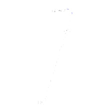 CCCCC/C=C\C/C=C\CCCCCCCC(=O)OCCCCCCCCCCCCCCCCCCCCCCCCCCCCCCCCCCCCCO